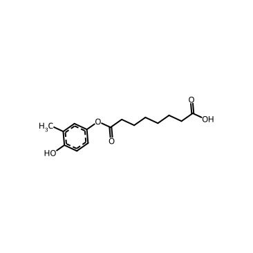 Cc1cc(OC(=O)CCCCCCC(=O)O)ccc1O